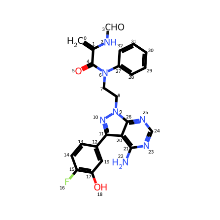 C=C(NC=O)C(=O)N(CCn1nc(-c2ccc(F)c(O)c2)c2c(N)ncnc21)c1ccccc1